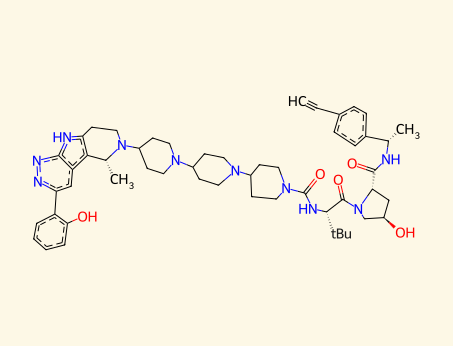 C#Cc1ccc([C@H](C)NC(=O)[C@@H]2C[C@@H](O)CN2C(=O)[C@@H](NC(=O)N2CCC(N3CCC(N4CCC(N5CCc6[nH]c7nnc(-c8ccccc8O)cc7c6[C@H]5C)CC4)CC3)CC2)C(C)(C)C)cc1